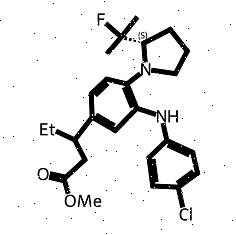 CCC(CC(=O)OC)c1ccc(N2CCC[C@H]2C(C)(C)F)c(Nc2ccc(Cl)cc2)c1